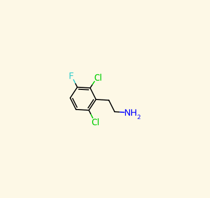 NCCc1c(Cl)ccc(F)c1Cl